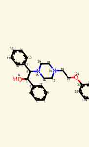 OC(c1ccccc1)C(c1ccccc1)N1CCN(CCOc2ccccc2)CC1